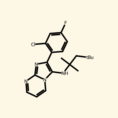 CC(C)(C)CC(C)(C)Nc1c(-c2ccc(F)cc2Cl)nc2ncccn12